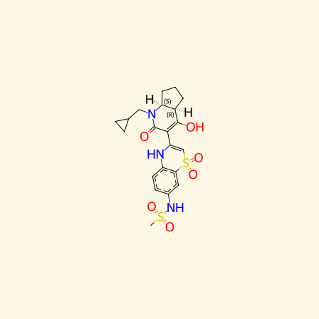 CS(=O)(=O)Nc1ccc2c(c1)S(=O)(=O)C=C(C1=C(O)[C@@H]3CCC[C@@H]3N(CC3CC3)C1=O)N2